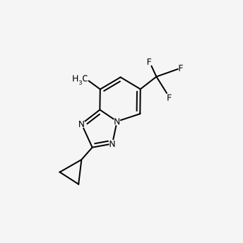 Cc1cc(C(F)(F)F)cn2nc(C3CC3)nc12